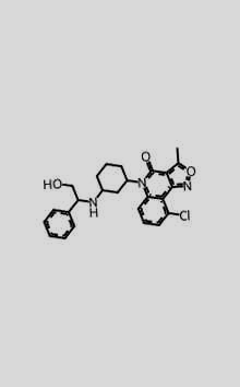 Cc1onc2c1c(=O)n(C1CCCC(NC(CO)c3ccccc3)C1)c1cccc(Cl)c21